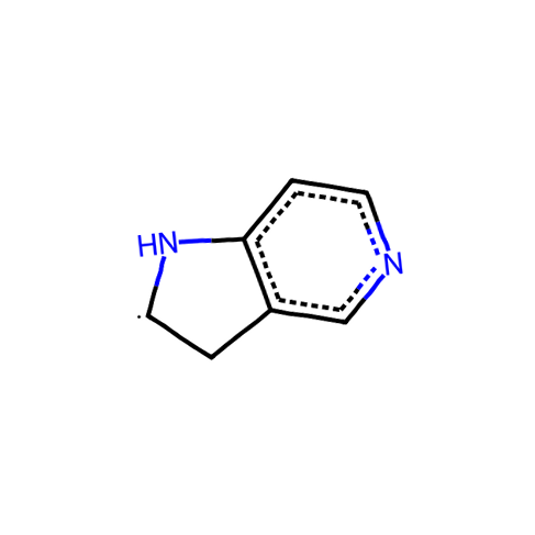 [CH]1Cc2cnccc2N1